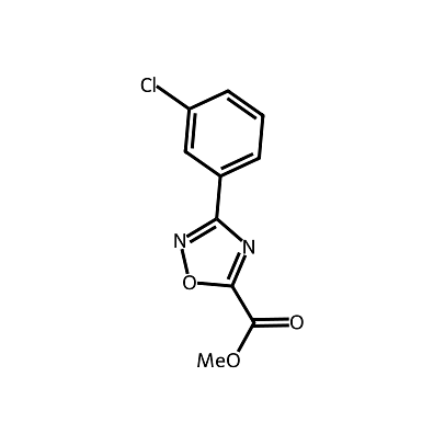 COC(=O)c1nc(-c2cccc(Cl)c2)no1